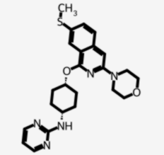 CSc1ccc2cc(N3CCOCC3)nc(O[C@H]3CC[C@@H](Nc4ncccn4)CC3)c2c1